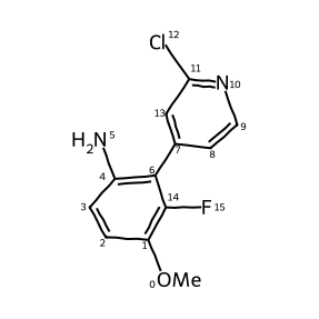 COc1ccc(N)c(-c2ccnc(Cl)c2)c1F